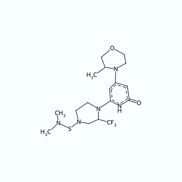 CC1COCCN1c1cc(N2CCN(SN(C)C)CC2C(F)(F)F)[nH]c(=O)c1